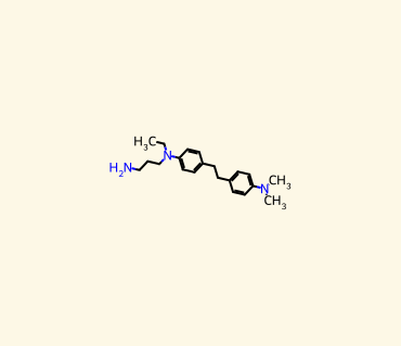 CCN(CCCN)c1ccc(CCc2ccc(N(C)C)cc2)cc1